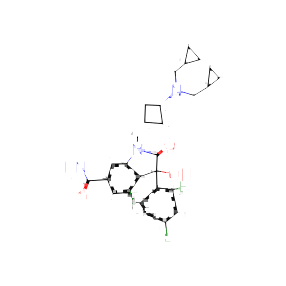 NC(=O)c1cc2c(c(C(F)(F)F)c1)C(O)(c1c(F)cc(F)cc1F)C(=O)N2C[C@H]1C[C@H](N(CC2CC2)CC2CC2)C1